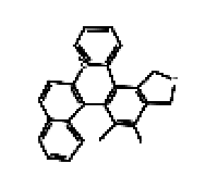 COc1ccc2ccccc2c1-c1c(C)c(C)c2c(c1-c1ccccc1)COC2